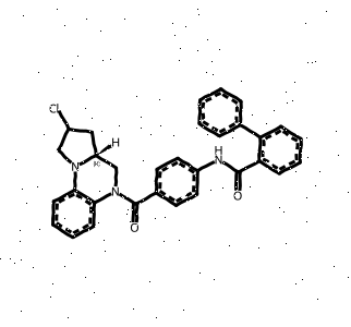 O=C(Nc1ccc(C(=O)N2C[C@H]3CC(Cl)CN3c3ccccc32)cc1)c1ccccc1-c1ccccc1